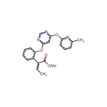 CC=C(C(=O)OC)c1ccccc1Oc1cc(Oc2cccc(C)n2)ncn1